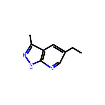 CCc1cnc2[nH]nc(C)c2c1